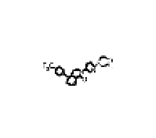 C[C@@H]1CN(c2ccc(-n3ccc4c(-c5ccc(C(F)(F)F)cc5)cccc4c3=O)cn2)C[C@H](C)O1